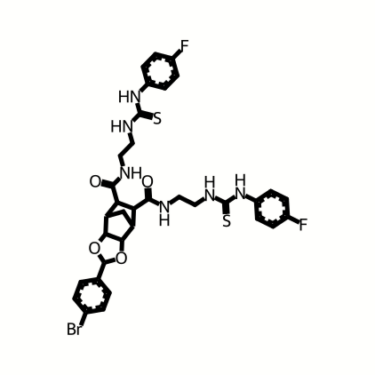 O=C(NCCNC(=S)Nc1ccc(F)cc1)C1C2CC(C3OC(c4ccc(Br)cc4)OC23)C1C(=O)NCCNC(=S)Nc1ccc(F)cc1